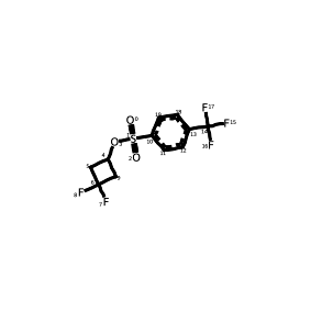 O=S(=O)(OC1CC(F)(F)C1)c1ccc(C(F)(F)F)cc1